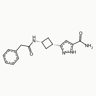 NC(=O)c1cc([C@H]2C[C@@H](NC(=O)Cc3ccccc3)C2)n[nH]1